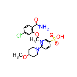 COC1CCN(c2ccc(S(=O)(=O)O)cn2)CC1.COc1cc(Cl)ccc1C(N)=O